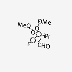 COCCOc1cc(C(C)C)c(C=CC=O)c(-c2ccc(F)cc2)c1OCCOC